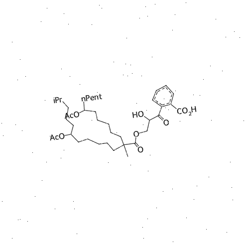 CCCCCC(CCCCCC(C)(CCCCCC(CCCC(C)C)OC(C)=O)C(=O)OCC(O)C(=O)c1ccccc1C(=O)O)OC(C)=O